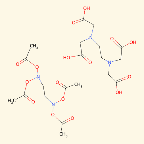 CC(=O)ON(CCN(OC(C)=O)OC(C)=O)OC(C)=O.O=C(O)CN(CCN(CC(=O)O)CC(=O)O)CC(=O)O